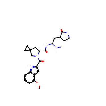 CNC(CC1CCNC1=O)NC(=O)[C@H]1CC2(CC2)CN1C(=O)c1cc2c(OC)cccc2[nH]1